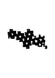 CC12C=CC=CC1=CC(c1c3ccccc3c(-c3ccc(-c4cccnc4)cc3)c3ccccc13)=CC2